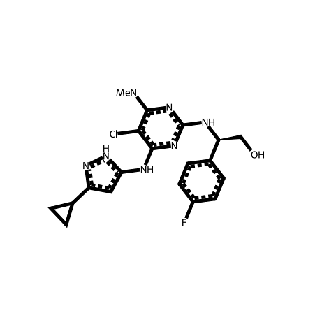 CNc1nc(N[C@@H](CO)c2ccc(F)cc2)nc(Nc2cc(C3CC3)n[nH]2)c1Cl